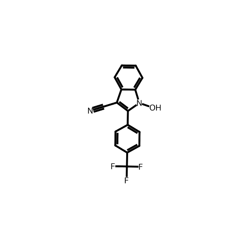 N#Cc1c(-c2ccc(C(F)(F)F)cc2)n(O)c2ccccc12